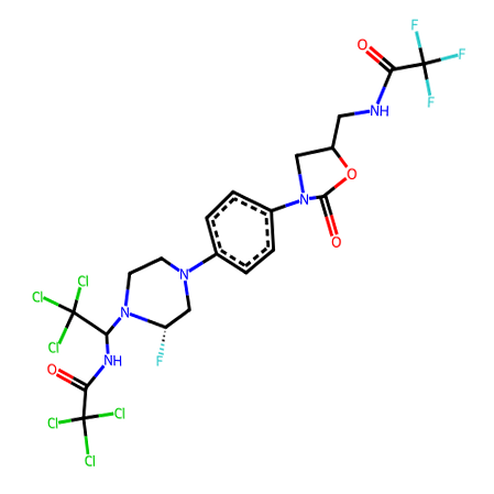 O=C1OC(CNC(=O)C(F)(F)F)CN1c1ccc(N2CCN(C(NC(=O)C(Cl)(Cl)Cl)C(Cl)(Cl)Cl)[C@@H](F)C2)cc1